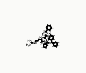 CCC(CC)(NC(=O)c1ccccc1)C(=O)N[C@H](CCCNC(=N)N)C(=O)NC1(C(=O)NC(c2ccccc2)c2ccccc2)CCCC1